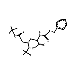 CC(C)(C)OC(=O)CN(CC(NC(=O)OCc1ccccc1)C(=O)O)CC(F)(F)F